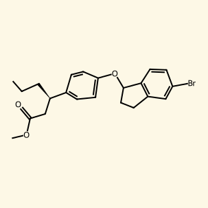 CCC[C@H](CC(=O)OC)c1ccc(OC2CCc3cc(Br)ccc32)cc1